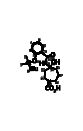 CC(C)(C)[Si](C)(C)Oc1ccccc1C(=O)NC1(O)CCCN(C(=O)O)CC1